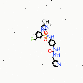 Cc1cn(-c2ccc(CF)cc2S(=O)(=O)Nc2ccc(NC(=O)NCc3cccnc3)cc2)cn1